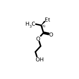 CC[C@H](C)C(=O)OCCO